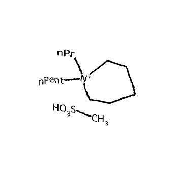 CCCCC[N+]1(CCC)CCCCC1.CS(=O)(=O)O